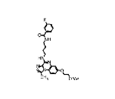 COCCOc1ccc2c(c1)nc(NCCCCNC(=O)c1cccc(F)c1)c1nnc(C)n12